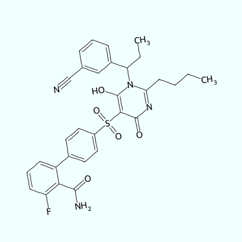 CCCCc1nc(=O)c(S(=O)(=O)c2ccc(-c3cccc(F)c3C(N)=O)cc2)c(O)n1C(CC)c1cccc(C#N)c1